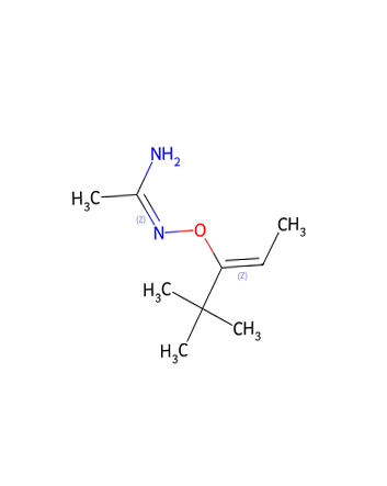 C/C=C(\O/N=C(/C)N)C(C)(C)C